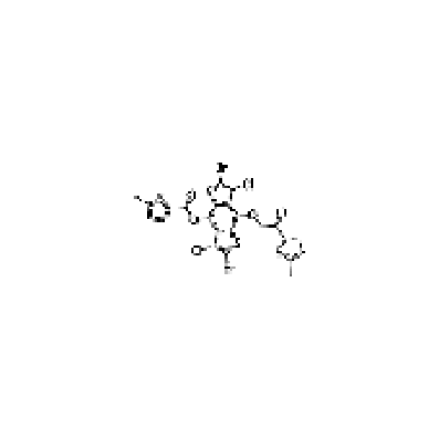 Cc1ccc(C(=O)COc2c3sc(Br)c(Cl)c3c(OC(=O)c3ccc(C)s3)c3sc(Br)c(Cl)c23)s1